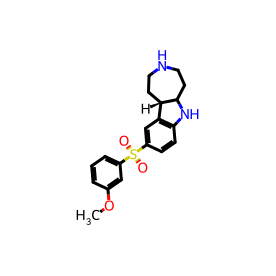 COc1cccc(S(=O)(=O)c2ccc3c(c2)[C@@H]2CCNCCC2N3)c1